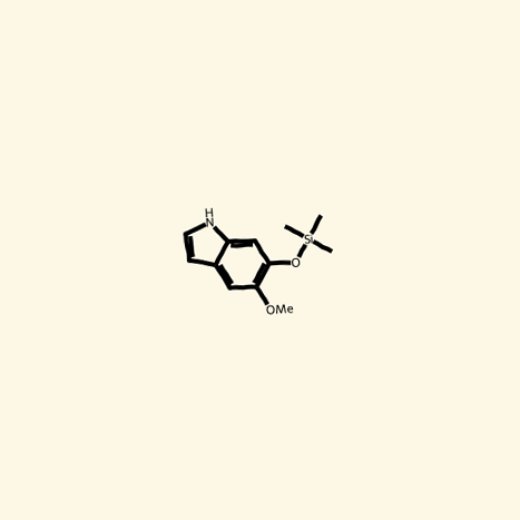 COc1cc2cc[nH]c2cc1O[Si](C)(C)C